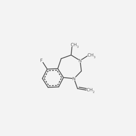 C=CN1CN(C)C(C)Cc2c(F)cccc21